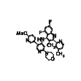 COc1ccc(-c2cnc(N3CCOCC3)cc2Nc2c(C)c(-c3cc(C)ccn3)nc3cc(F)cc(F)c23)cn1